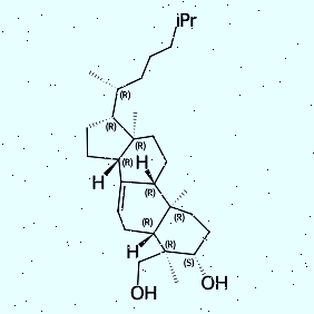 CC(C)CCC[C@@H](C)[C@H]1CC[C@H]2C3=CC[C@H]4[C@](C)(CO)[C@@H](O)CC[C@]4(C)[C@H]3CC[C@]12C